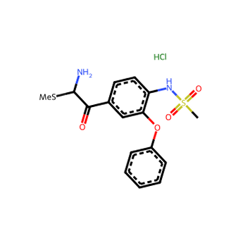 CSC(N)C(=O)c1ccc(NS(C)(=O)=O)c(Oc2ccccc2)c1.Cl